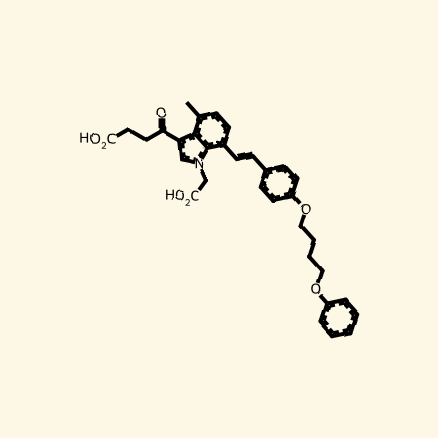 Cc1ccc(C=Cc2ccc(OCCCCOc3ccccc3)cc2)c2c1c(C(=O)CCC(=O)O)cn2CC(=O)O